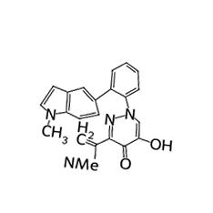 C=C(NC)c1nn(-c2ccccc2-c2ccc3c(ccn3C)c2)cc(O)c1=O